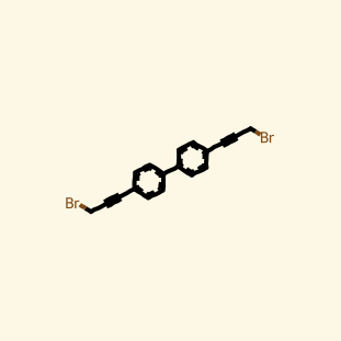 BrCC#Cc1ccc(-c2ccc(C#CCBr)cc2)cc1